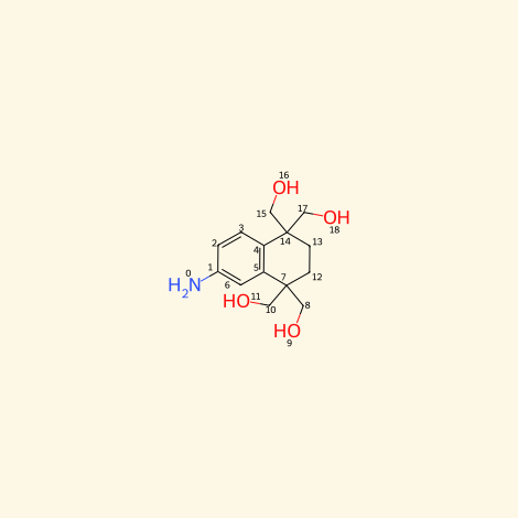 Nc1ccc2c(c1)C(CO)(CO)CCC2(CO)CO